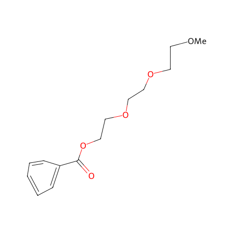 COCCOCCOCCOC(=O)c1ccccc1